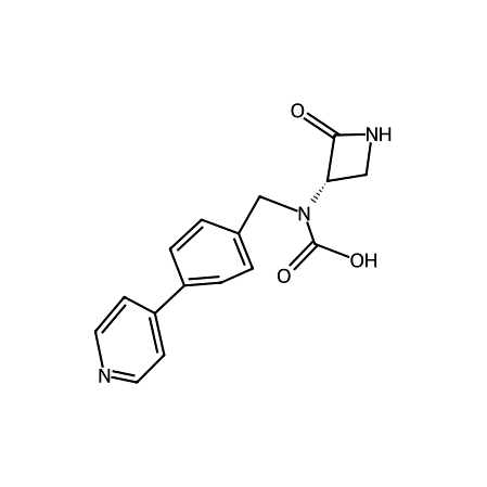 O=C1NC[C@@H]1N(Cc1ccc(-c2ccncc2)cc1)C(=O)O